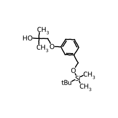 CC(C)(O)COc1cccc(CO[Si](C)(C)C(C)(C)C)c1